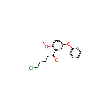 COc1ccc(Oc2ccccc2)cc1C(=O)CCCCCl